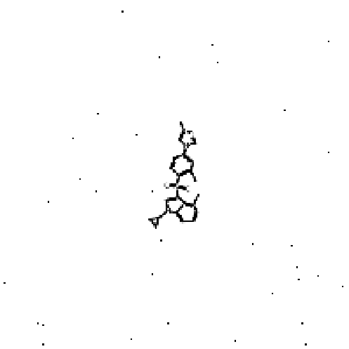 Cc1cn(-c2ccc(S(=O)(=O)c3cn(C4CC4)c4cccc(C)c34)c(C)c2)cn1